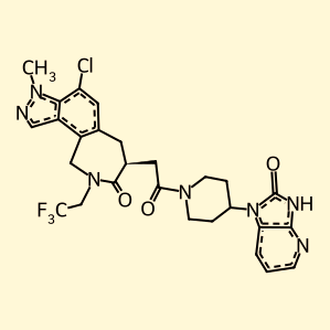 Cn1ncc2c3c(cc(Cl)c21)C[C@@H](CC(=O)N1CCC(n2c(=O)[nH]c4ncccc42)CC1)C(=O)N(CC(F)(F)F)C3